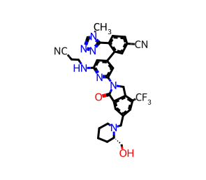 Cn1cnnc1-c1ccc(C#N)cc1-c1cc(NCCC#N)nc(N2Cc3c(cc(CN4CCCC[C@H]4CO)cc3C(F)(F)F)C2=O)c1